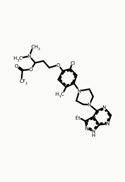 CCc1n[nH]c2ncnc(N3CCN(c4cc(Cl)c(OCCC(OC(=O)C(F)(F)F)N(C)C)cc4C)CC3)c12